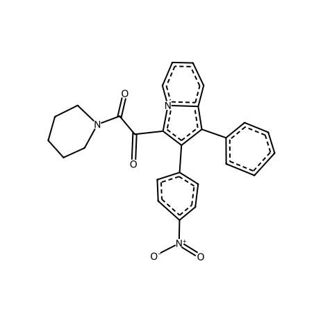 O=C(C(=O)N1CCCCC1)c1c(-c2ccc([N+](=O)[O-])cc2)c(-c2ccccc2)c2ccccn12